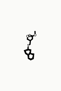 COC(=O)CC(CO)CSc1ccc2ccccc2c1